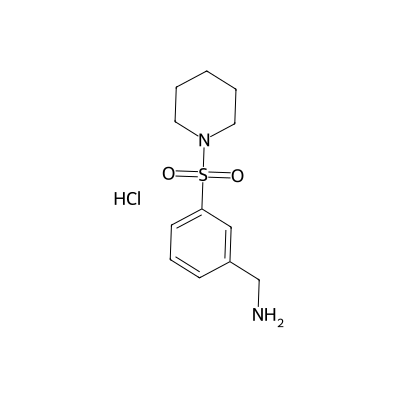 Cl.NCc1cccc(S(=O)(=O)N2CCCCC2)c1